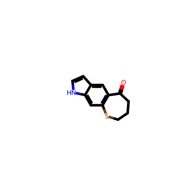 O=C1CCCSc2cc3[nH]ccc3cc21